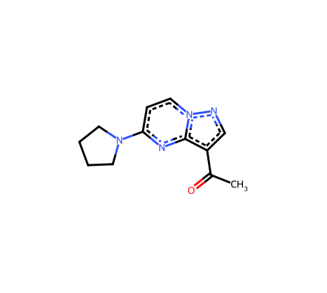 CC(=O)c1cnn2ccc(N3CCCC3)nc12